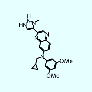 COc1cc(OC)cc(N(CC2CC2)c2ccc3ncc(C4=CNNN4C)nc3c2)c1